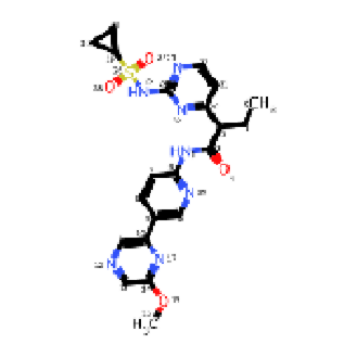 CCC(C(=O)Nc1ccc(-c2cncc(OC)n2)cn1)c1ccnc(NS(=O)(=O)C2CC2)n1